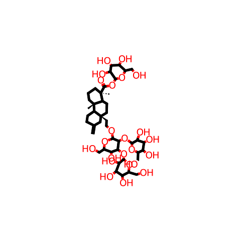 C=C1CCC2[C@](CCOC3OC(CO)C(O)C(OC4OC(CO)C(O)C(O)C4O)C3OC3OC(CO)C(O)C(O)C3O)(CCC3[C@@]2(C)CCC[C@@]3(C)C(=O)OC2OC(CO)C(O)C(O)C2O)C1